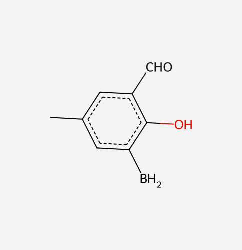 Bc1cc(C)cc(C=O)c1O